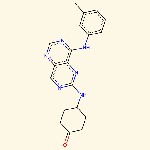 Cc1cccc(Nc2ncnc3cnc(NC4CCC(=O)CC4)nc23)c1